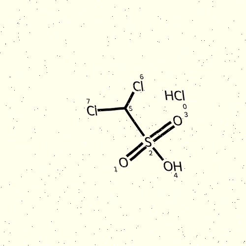 Cl.O=S(=O)(O)C(Cl)Cl